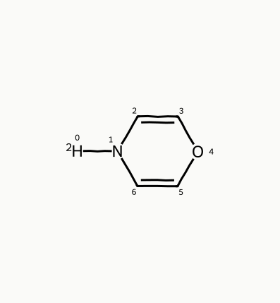 [2H]N1C=COC=C1